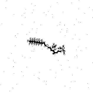 CO[Si](CCCC(C)C(CCCOCCC(F)(F)C(F)(F)C(F)(F)C(F)(F)C(F)(F)C(F)(F)F)O[Si](C)(C)C)(OC)OC